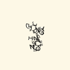 O=c1[nH]c2ccc(Cl)cc2cc1CNc1ccc2ocnc2c1